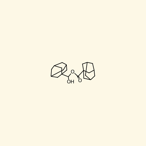 O=C(OC(O)C12CC3CC(CC(C3)C1)C2)C12CC3CC(CC(C3)C1)C2